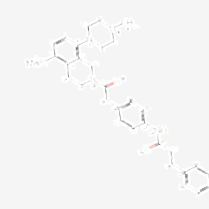 COc1ccc(N2CCN(C)CC2)c2c1CCN(C(=O)Cc1ccc(NC(=O)CCc3ccccc3)cc1)C2